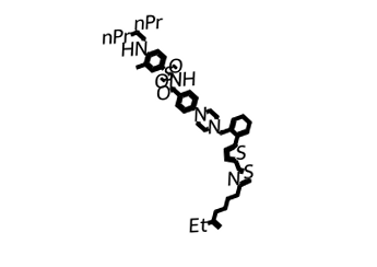 C=C(CC)CCCCc1csc(-c2ccc(C3=CCCC=C3CN3CCN(c4ccc(C(=O)NS(=O)(=O)c5ccc(NCC(CCC)CCC)c(C)c5)cc4)CC3)s2)n1